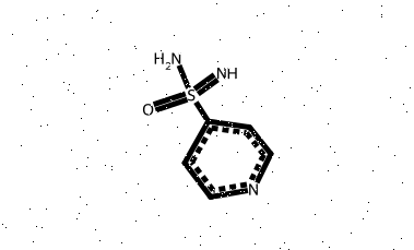 N=S(N)(=O)c1ccncc1